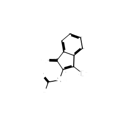 CCC(=O)NC1=C(CC)c2ccccc2C1=O